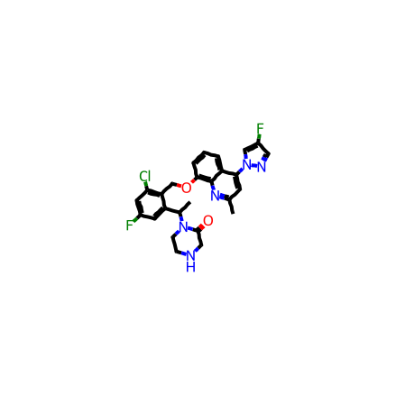 Cc1cc(-n2cc(F)cn2)c2cccc(OCc3c(Cl)cc(F)cc3C(C)N3CCNCC3=O)c2n1